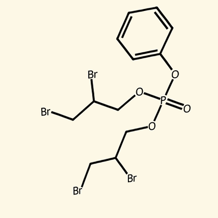 O=P(OCC(Br)CBr)(OCC(Br)CBr)Oc1ccccc1